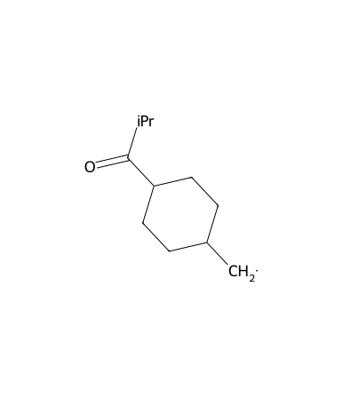 [CH2]C1CCC(C(=O)C(C)C)CC1